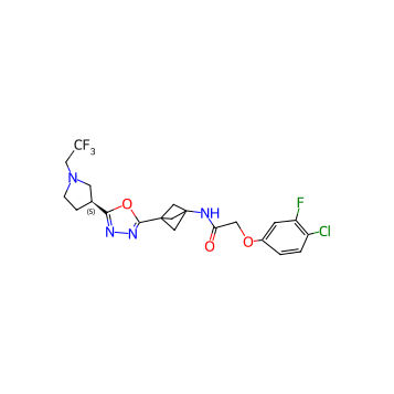 O=C(COc1ccc(Cl)c(F)c1)NC12CC(c3nnc([C@H]4CCN(CC(F)(F)F)C4)o3)(C1)C2